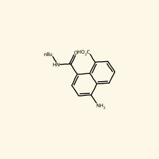 CCCCNC(=O)c1ccc(N)c2cccc(C(=O)O)c12